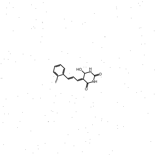 O=C1NC(=O)/C(=C/C=C/c2ccccc2F)C(O)N1